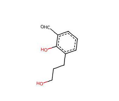 O=Cc1cccc(CCCO)c1O